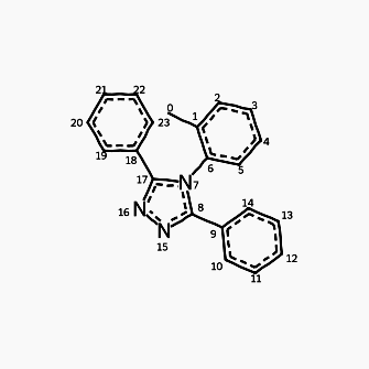 Cc1ccccc1-n1c(-c2ccccc2)nnc1-c1ccccc1